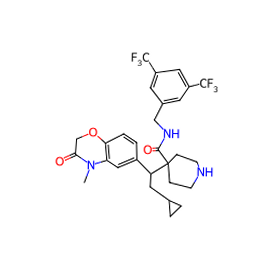 CN1C(=O)COc2ccc(C(CC3CC3)C3(C(=O)NCc4cc(C(F)(F)F)cc(C(F)(F)F)c4)CCNCC3)cc21